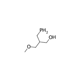 COCC(CO)CP